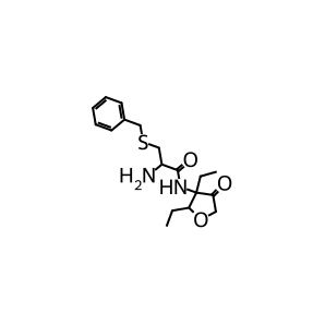 CCC1OCC(=O)C1(CC)NC(=O)C(N)CSCc1ccccc1